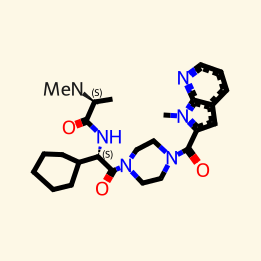 CN[C@@H](C)C(=O)N[C@H](C(=O)N1CCN(C(=O)c2cc3cccnc3n2C)CC1)C1CCCCC1